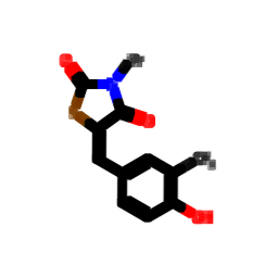 CC(C)N1C(=O)SC(=Cc2ccc(O)c(C(F)(F)F)c2)C1=O